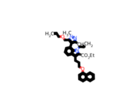 C=CCOCc1c(-c2cccc3c(CCCOc4cccc5ccccc45)c(C(=O)OCC)n(CC=C)c23)c(C)nn1C